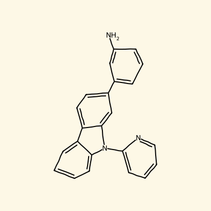 Nc1cccc(-c2ccc3c4ccccc4n(-c4ccccn4)c3c2)c1